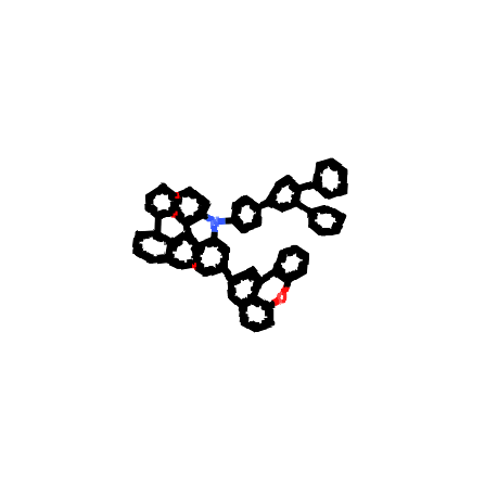 c1ccc(-c2ccc(-c3ccc(N(c4cccc(-c5cc6c7c(cccc7c5)Oc5ccccc5-6)c4)c4ccccc4-c4cccc5cccc(-c6ccccc6)c45)cc3)cc2-c2ccccc2)cc1